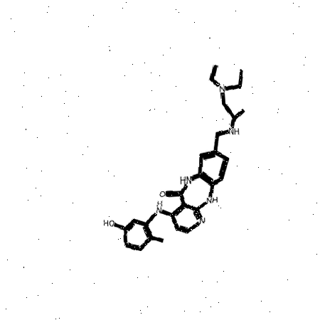 CCN(CC)CC(C)NCc1ccc2c(c1)NC(=O)c1c(Nc3cc(O)ccc3C)ccnc1N2